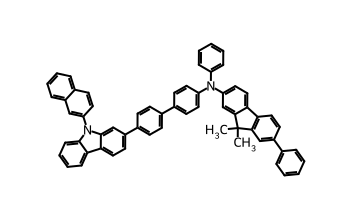 CC1(C)c2cc(-c3ccccc3)ccc2-c2ccc(N(c3ccccc3)c3ccc(-c4ccc(-c5ccc6c7ccccc7n(-c7ccc8ccccc8c7)c6c5)cc4)cc3)cc21